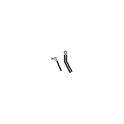 C=C=O.CS